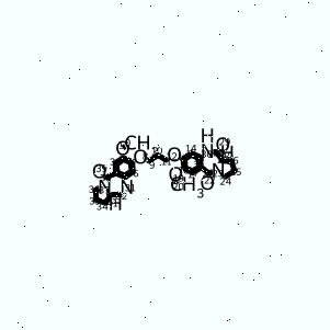 COc1cc2c(cc1OCCCOc1cc3c(cc1OC)C(=O)N1CCC[C@H]1C(=O)N3)N=C[C@@H]1CCCN1C2=O